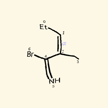 CC/C=C(/C)C(=N)Br